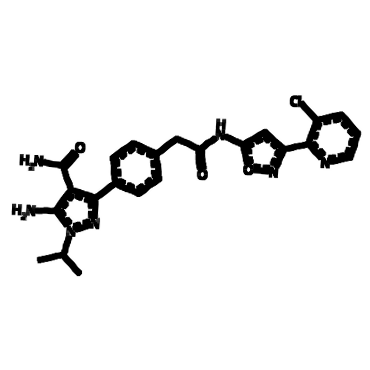 CC(C)n1nc(-c2ccc(CC(=O)Nc3cc(-c4ncccc4Cl)no3)cc2)c(C(N)=O)c1N